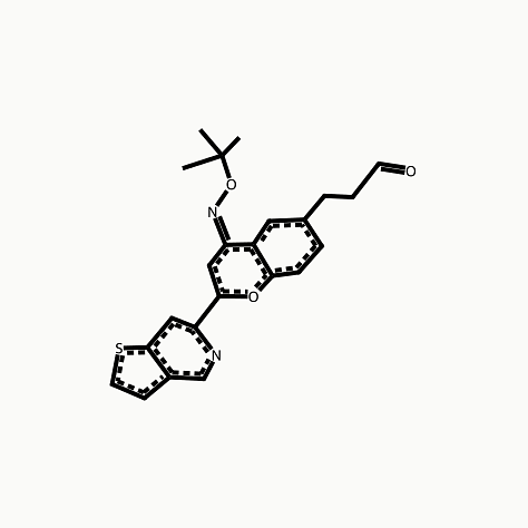 CC(C)(C)O/N=c1/cc(-c2cc3sccc3cn2)oc2ccc(CCC=O)cc12